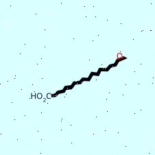 O=C(O)CCCC=CCCCCCCCCCCC1CO1